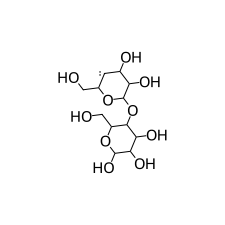 OCC1[C]C(O)C(O)C(OC2C(CO)OC(O)C(O)C2O)O1